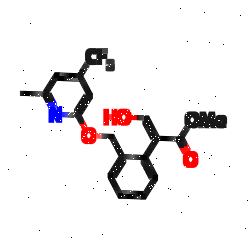 COC(=O)/C(=C/O)c1ccccc1COc1cc(C(F)(F)F)cc(C)n1